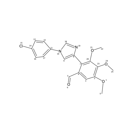 COc1cc(C=O)c(-c2cn(-c3ccc(Cl)cc3)cn2)c(OC)c1OC